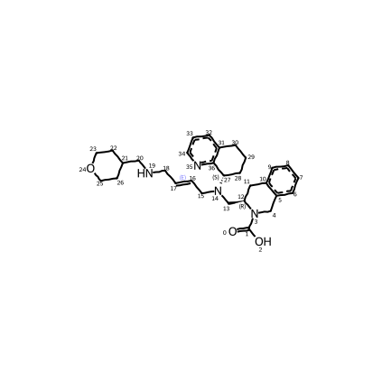 O=C(O)N1Cc2ccccc2C[C@@H]1CN(C/C=C/CNCC1CCOCC1)[C@H]1CCCc2cccnc21